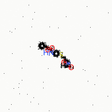 O=C(Nc1ccc(SC/C=C2/CN3C(=O)C[C@H]3O2)cc1)OCc1ccccc1